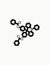 O=C(Oc1ccc(C2(c3ccc(OC(=O)c4ccccc4)cc3)c3ccccc3N(c3ccccc3)c3ccccc32)cc1)c1ccccc1